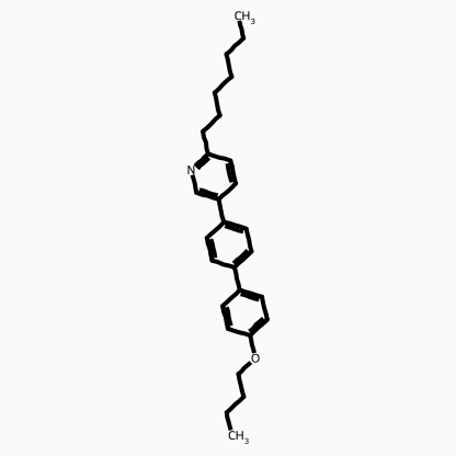 CCCCCCCc1ccc(-c2ccc(-c3ccc(OCCCC)cc3)cc2)cn1